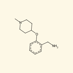 CN1CCC(Oc2ccccc2CN)CC1